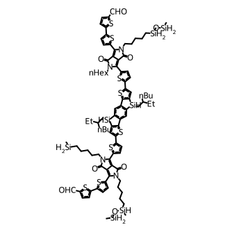 CCCCCCN1C(=O)C2=C(c3ccc(-c4ccc(C=O)s4)s3)N(CCCCC[SiH2]O[SiH2]C)C(=O)C2=C1c1ccc(-c2cc3c(s2)-c2cc4c(cc2[SiH]3CC(CC)CCCC)-c2sc(-c3ccc(C5=C6C(=O)N(CCCCC[SiH](C)O[SiH2]C)C(c7ccc(-c8ccc(C=O)s8)s7)=C6C(=O)N5CCCCC[SiH2]C)s3)cc2[SiH]4CC(CC)CCCC)s1